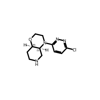 Clc1ccc(N2CCO[C@@H]3CCNC[C@@H]32)nn1